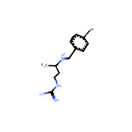 CC(C)c1ccc(CNC(CCNC(=N)N)C(F)(F)F)cc1